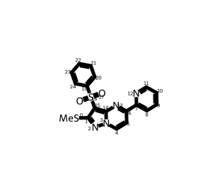 CSc1nn2ccc(-c3ccccn3)nc2c1S(=O)(=O)c1ccccc1